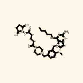 CCCCCNc1nc(N)nc2ccn(Cc3cc(CN4CCN(C(=O)CCCC(=O)ON5C(=O)CCC5=O)CC4)ccc3OC)c12